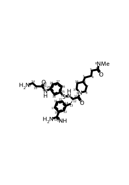 CNC(=O)CCCC1CCN(C(=O)[C@H](Cc2cccc(C(=N)N)c2)NSc2cccc(NC(=O)CCN)c2)CC1